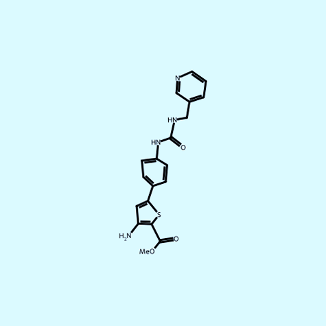 COC(=O)c1sc(-c2ccc(NC(=O)NCc3cccnc3)cc2)cc1N